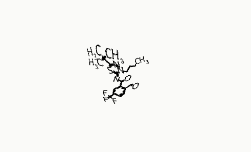 CCCCn1nc(C(C)(C)C)sc1=NC(=O)c1cc(C(F)(F)F)ccc1C=O